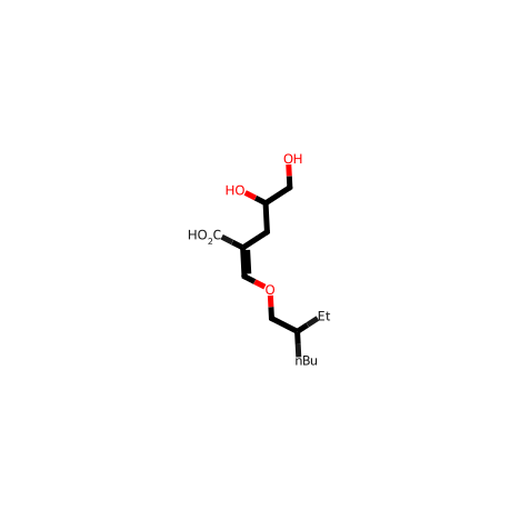 CCCCC(CC)COC=C(CC(O)CO)C(=O)O